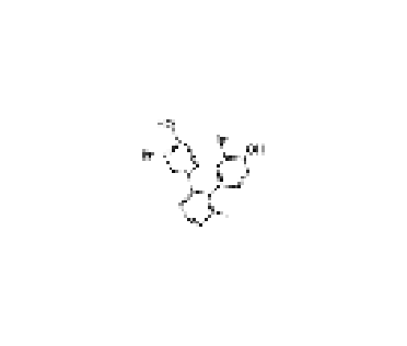 Cc1cccc(-c2ccc(O)c(Br)c2)c1-c1ccc(O)c(Br)c1